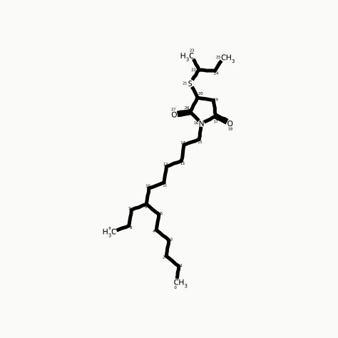 CCCCCCC(CCC)CCCCCCN1C(=O)CC(SC(C)CC)C1=O